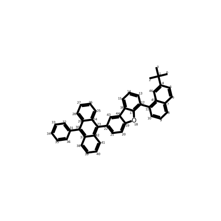 CC(C)(C)c1ccc2cccc(-c3cccc4c3oc3ccc(-c5c6ccccc6c(-c6ccccc6)c6ccccc56)cc34)c2c1